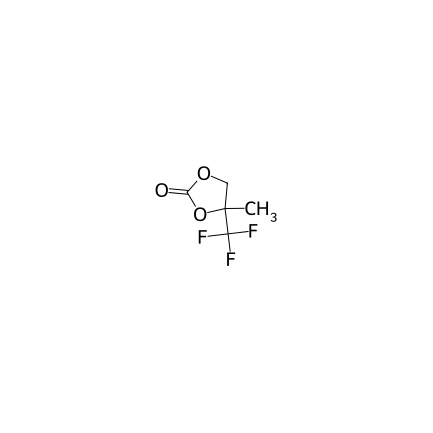 CC1(C(F)(F)F)COC(=O)O1